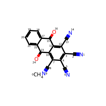 C.N#Cc1c(C#N)c(C#N)c2c(c1C#N)C(=O)c1ccccc1C2=O